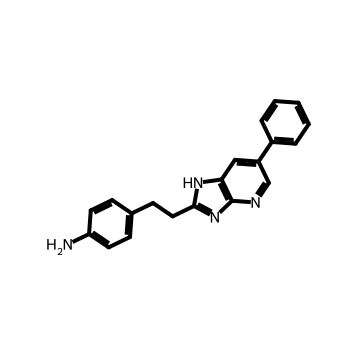 Nc1ccc(CCc2nc3ncc(-c4ccccc4)cc3[nH]2)cc1